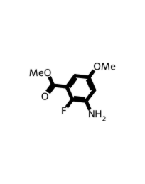 COC(=O)c1cc(OC)cc(N)c1F